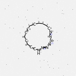 C1CCCCCC/N=N/N=N\N=N\NCCCCCC1